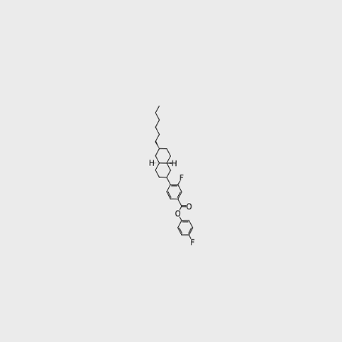 CCCCCC[C@H]1CC[C@@H]2CC(c3ccc(C(=O)Oc4ccc(F)cc4)cc3F)CC[C@H]2C1